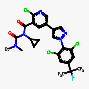 CCN(C)C(=O)N(C(=O)c1cc(-c2cnn(-c3c(Cl)cc(C(F)(C(F)(F)F)C(F)(F)F)cc3Cl)c2)cnc1Cl)C1CC1